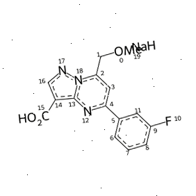 COCc1cc(-c2cccc(F)c2)nc2c(C(=O)O)cnn12.[NaH]